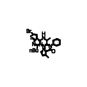 CCCCc1nc(NC(C)c2nn3ccc(C)c3c(=O)n2-c2ccccc2)c2cc(Br)sc2n1